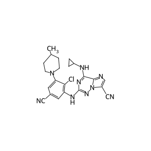 CC1CCN(c2cc(C#N)cc(Nc3nc(NC4CC4)c4ncc(C#N)n4n3)c2Cl)CC1